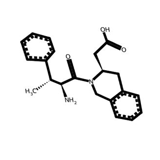 C[C@H](c1ccccc1)[C@H](N)C(=O)N1Cc2ccccc2C[C@@H]1CC(=O)O